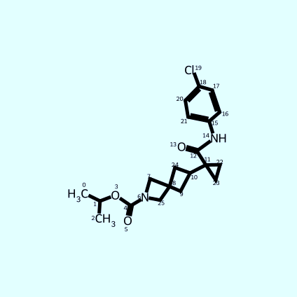 CC(C)OC(=O)N1CC2(CC(C3(C(=O)Nc4ccc(Cl)cc4)CC3)C2)C1